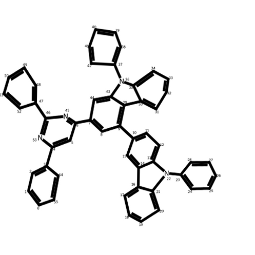 c1ccc(-c2cc(-c3cc(-c4ccc5c(c4)c4ccccc4n5-c4ccccc4)c4c5ccccc5n(-c5ccccc5)c4c3)nc(-c3ccccc3)n2)cc1